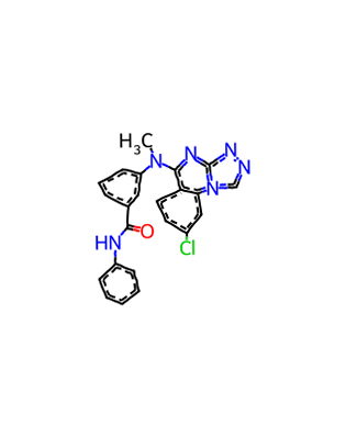 CN(c1cccc(C(=O)Nc2ccccc2)c1)c1nc2nncn2c2cc(Cl)ccc12